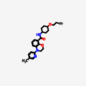 Cc1ccc(N2CCOc3c(C(=O)NC4CCC(OCCC(C)C)CC4)cccc32)nc1